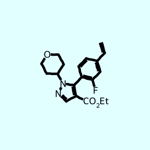 C=Cc1ccc(-c2c(C(=O)OCC)cnn2C2CCOCC2)c(F)c1